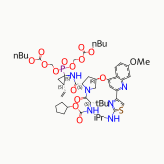 C=C[C@@H]1C[C@]1(NC(=O)[C@@H]1C[C@@H](Oc2cc(-c3csc(NC(C)C)n3)nc3cc(OC)ccc23)CN1C(=O)[C@@H](NC(=O)OC1CCCC1)C(C)(C)C)P(=O)(OCOC(=O)OCCCC)OCOC(=O)OCCCC